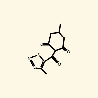 Cc1nnsc1C(=O)C1C(=O)CC(C)CC1=O